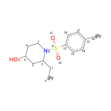 CC(C)CC1CC(O)CCN1S(=O)(=O)c1ccc(C(C)C)cc1